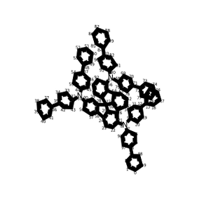 c1ccc(-c2ccc(N(c3ccc(-c4ccccc4)cc3)c3ccc4c(c3)C3(c5cc(N(c6ccc(-c7ccccc7)cc6)c6ccc(-c7ccccc7)cc6)ccc5-4)c4ccccc4-c4c(N(c5ccc(-c6ccccc6)cc5)c5ccc(-c6ccccc6)cc5)cccc43)cc2)cc1